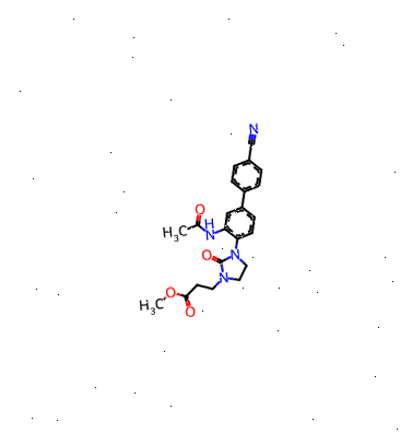 COC(=O)CCN1CCN(c2ccc(-c3ccc(C#N)cc3)cc2NC(C)=O)C1=O